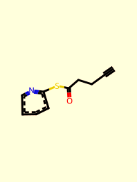 C#CCCC(=O)Sc1ccccn1